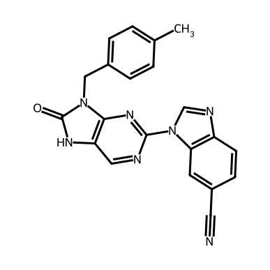 Cc1ccc(Cn2c(=O)[nH]c3cnc(-n4cnc5ccc(C#N)cc54)nc32)cc1